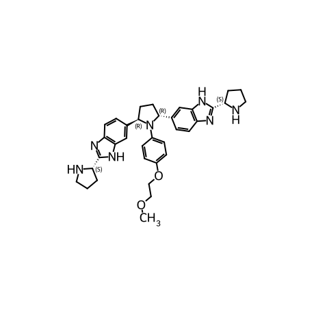 COCCOc1ccc(N2[C@@H](c3ccc4nc([C@@H]5CCCN5)[nH]c4c3)CC[C@@H]2c2ccc3nc([C@@H]4CCCN4)[nH]c3c2)cc1